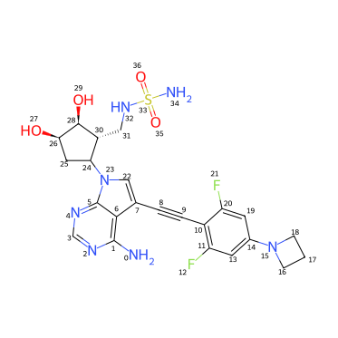 Nc1ncnc2c1c(C#Cc1c(F)cc(N3CCC3)cc1F)cn2C1C[C@@H](O)[C@@H](O)[C@@H]1CNS(N)(=O)=O